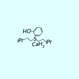 CC(C)CCSCCC(C)C.Oc1ccccc1.[CaH2]